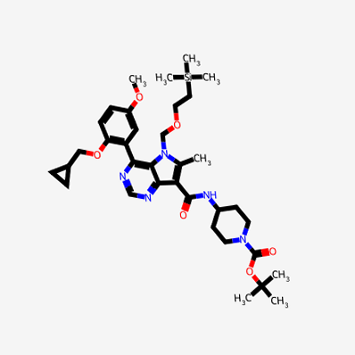 COc1ccc(OCC2CC2)c(-c2ncnc3c(C(=O)NC4CCN(C(=O)OC(C)(C)C)CC4)c(C)n(COCC[Si](C)(C)C)c23)c1